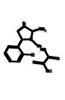 CC(C)N1C(N)NCC1c1ccccc1Cl.O=C(O)C(=O)O